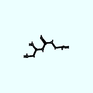 CCCCCCOC(=O)OC(O)CO